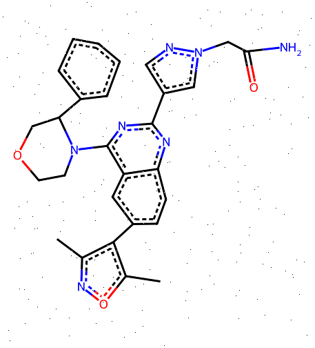 Cc1noc(C)c1-c1ccc2nc(-c3cnn(CC(N)=O)c3)nc(N3CCOCC3c3ccccc3)c2c1